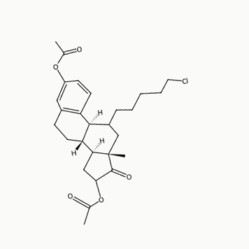 CC(=O)Oc1ccc2c(c1)CC[C@@H]1[C@@H]2C(CCCCCCl)C[C@]2(C)C(=O)C(OC(C)=O)C[C@@H]12